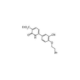 CCOC(=O)c1ccc(-c2ccc(OCCC(C)C)c(C#N)c2)[nH]c1=O